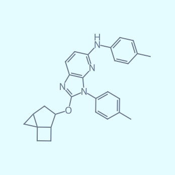 Cc1ccc(Nc2ccc3nc(OC4CC5CC56CCC46)n(-c4ccc(C)cc4)c3n2)cc1